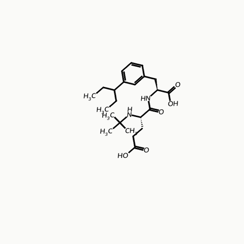 CCC(CC)c1cccc(C[C@H](NC(=O)[C@H](CCC(=O)O)NC(C)(C)C)C(=O)O)c1